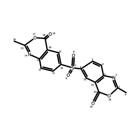 Cc1nc2ccc(S(=O)(=O)c3ccc4nc(C)oc(=O)c4c3)cc2c(=O)o1